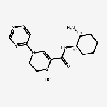 Cl.N[C@@H]1CCCC[C@H]1NC(=O)C1=CN(c2ccncn2)CCS1